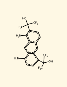 Nc1c(C(O)(C(F)(F)F)C(F)(F)F)ccc2cc3c(C(O)(C(F)(F)F)C(F)(F)F)ccc(N)c3cc12